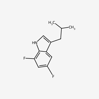 CC(C)Cc1c[nH]c2c(F)cc(F)cc12